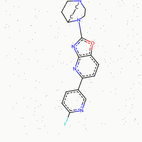 Fc1ccc(-c2ccc3oc(N4CCN5CCC4CC5)nc3n2)cn1